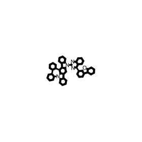 c1ccc2c(c1)-c1ccccc1-n1c3ccccc3c3cc4c(c-2c31)c1ccccc1n4-c1nc(-c2cccc3c2oc2ccccc23)c2ccccc2n1